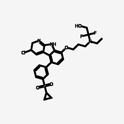 CCN(CCCOc1ccc(-c2cccc(S(=O)(=O)C3CC3)c2)c2c3c([nH]c12)=NCC(Cl)C=3)C(F)(F)CO